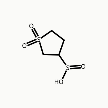 O=S(O)C1CCS(=O)(=O)C1